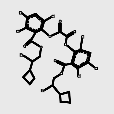 CCC(COC(=O)c1c(Cl)c(Cl)cc(Cl)c1OC(=O)C(=O)Oc1c(Cl)cc(Cl)c(Cl)c1C(=O)OCC(CC)C1CCC1)C1CCC1